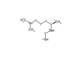 C[C@H](CCCN(C)C)NCS